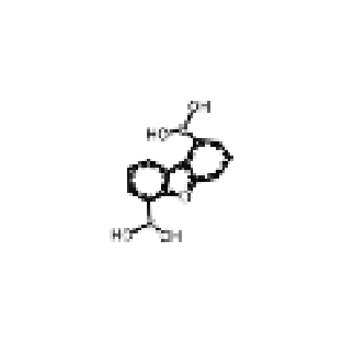 OB(O)c1cccc2c1oc1cccc(B(O)O)c12